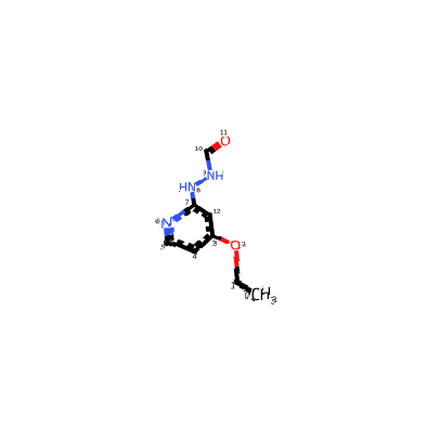 CCOc1ccnc(NNC=O)c1